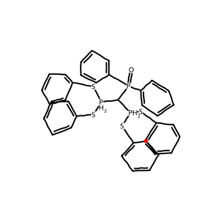 O=P(c1ccccc1)(c1ccccc1)C([PH2](Sc1ccccc1)Sc1ccccc1)[PH2](Sc1ccccc1)Sc1ccccc1